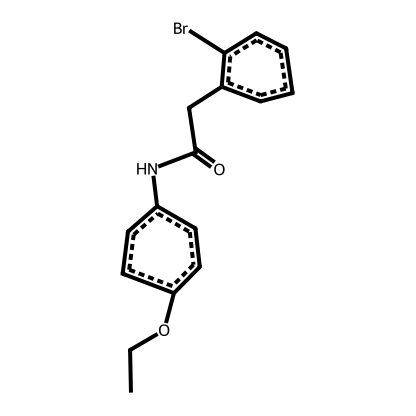 CCOc1ccc(NC(=O)Cc2ccccc2Br)cc1